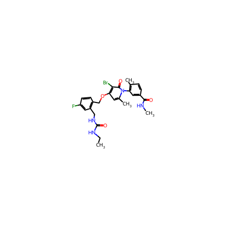 CCNC(=O)NCc1cc(F)ccc1COc1cc(C)n(-c2cc(C(=O)NC)ccc2C)c(=O)c1Br